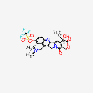 CC[C@@]1(O)C(=O)OCc2c1cc1n(c2=O)Cc2c-1nc1ccc(OS(=O)(=O)C(F)(F)F)cc1c2CN(C)C